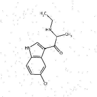 CCNC(C)C(=O)c1c[nH]c2ccc(Cl)cc12